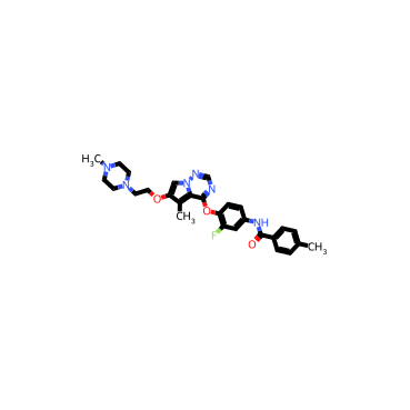 Cc1ccc(C(=O)Nc2ccc(Oc3ncnn4cc(OCCN5CCN(C)CC5)c(C)c34)c(F)c2)cc1